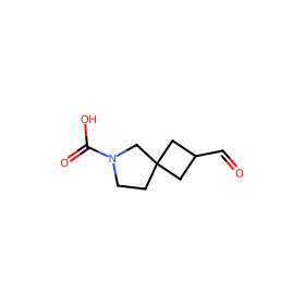 O=CC1CC2(CCN(C(=O)O)C2)C1